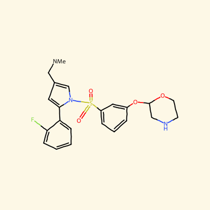 CNCc1cc(-c2ccccc2F)n(S(=O)(=O)c2cccc(OC3CNCCO3)c2)c1